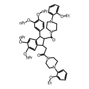 CCCOc1ccc(C2c3cc(OCCC)c(OCCC)cc3C(CC(=O)N3CCN(c4ccccc4OCC)CC3)C2C(=O)N2CCN(c3ccccc3OCC)CC2)cc1OCCC